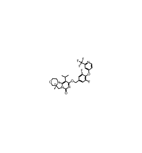 CC(C)c1c(OCc2cc(F)c(Oc3ccnc(C(F)(F)F)c3)c(F)c2)nc(=O)n2c1N1CCOC[C@@]1(C)C2